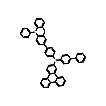 c1ccc(-c2ccc(N(c3ccc(-c4ccc5c(c4)Oc4ccccc4N5c4ccccc4)cc3)c3ccc4c5ccccc5c5ccccc5c4c3)cc2)cc1